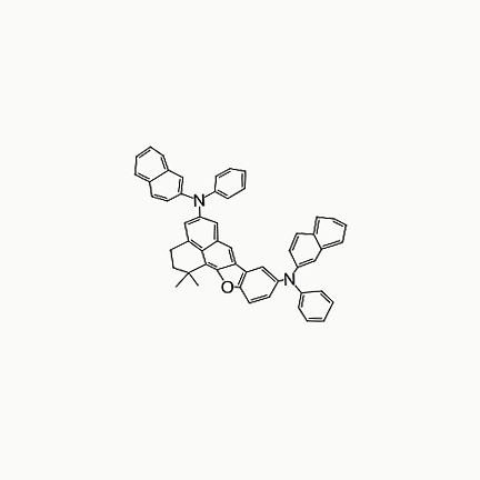 CC1(C)CCc2cc(N(c3ccccc3)c3ccc4ccccc4c3)cc3cc4c(oc5ccc(N(c6ccccc6)c6ccc7ccccc7c6)cc54)c1c23